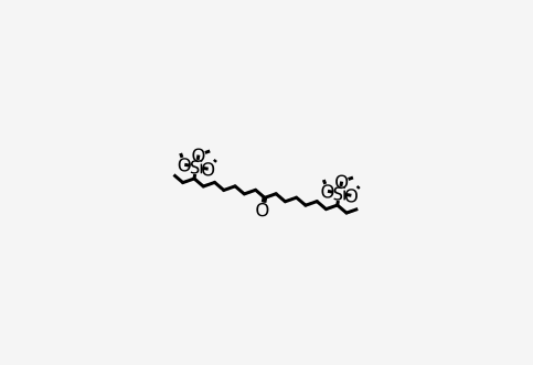 CCC(CCCCCCC(=O)CCCCCCC(CC)[Si](OC)(OC)OC)[Si](OC)(OC)OC